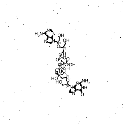 Nc1nc2c(ncn2[C@@H](CO)O[C@@H](CO)CP(=O)(O)OP(=O)(O)NP(=O)(O)OP(=O)(O)OC[C@H](CO)O[C@H](CO)n2cnc3c(N)ncnc32)c(=O)[nH]1